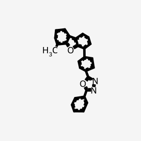 Cc1cccc2c1oc1c(-c3ccc(-c4nnc(-c5ccccc5)o4)cc3)cccc12